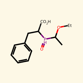 CCOC(C)[PH](=O)C(Cc1ccccc1)C(=O)O